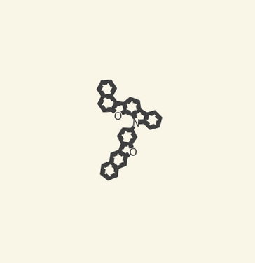 c1ccc2cc3c(cc2c1)oc1cc(-n2c4ccccc4c4ccc5c(oc6ccc7ccccc7c65)c42)ccc13